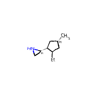 CCC1C[C@@H](C)CC1[C@@H]1CN1